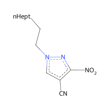 CCCCCCCCCn1cc(C#N)c([N+](=O)[O-])n1